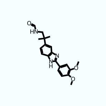 COc1ccc(-c2nc3cc(C(C)(C)CNC=O)ccc3[nH]2)cc1OC